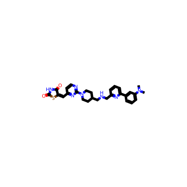 CN(C)c1cccc(-c2cccc(CNCC3CCN(c4nccc(C=C5SC(=O)NC5=O)n4)CC3)n2)c1